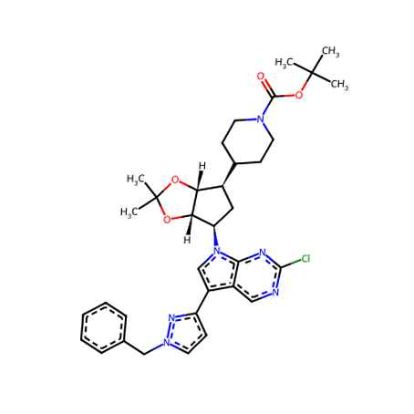 CC(C)(C)OC(=O)N1CCC([C@H]2C[C@@H](n3cc(-c4ccn(Cc5ccccc5)n4)c4cnc(Cl)nc43)[C@@H]3OC(C)(C)O[C@@H]32)CC1